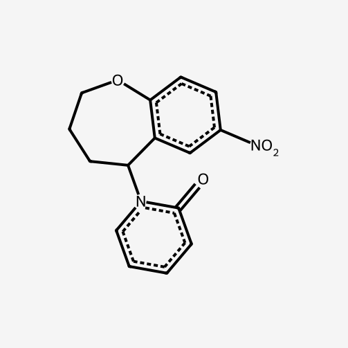 O=c1ccccn1C1CCCOc2ccc([N+](=O)[O-])cc21